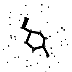 C=CC1CCC(C)OC1